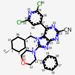 C[C@H]1CC[C@H](Cn2c(N3CCOC[C@H]3c3ccccc3)nc3nc(C#N)nc(-c4cc(Cl)nc(Cl)c4)c32)CC1